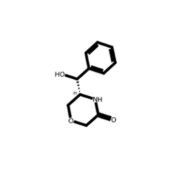 O=C1COC[C@H](C(O)c2ccccc2)N1